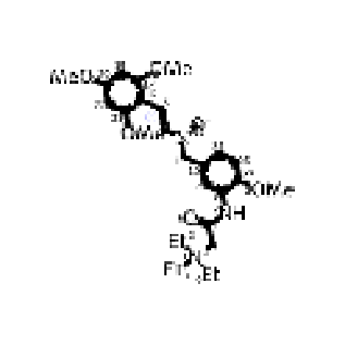 CC[N+](CC)(CC)CC(=O)Nc1cc(C[S+]([O-])/C=C/c2c(OC)cc(OC)cc2OC)ccc1OC